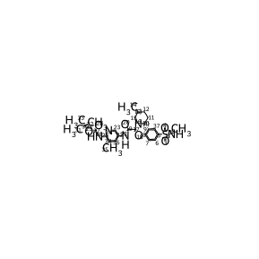 CNS(=O)(=O)c1cccc([C@H]2CC[C@H](C)CN2C(=O)C(=O)Nc2cnc(NC(=O)OC(C)(C)C)c(C)c2)c1